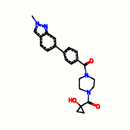 Cn1cc2ccc(-c3ccc(C(=O)N4CCN(C(=O)C5(O)CC5)CC4)cc3)cc2n1